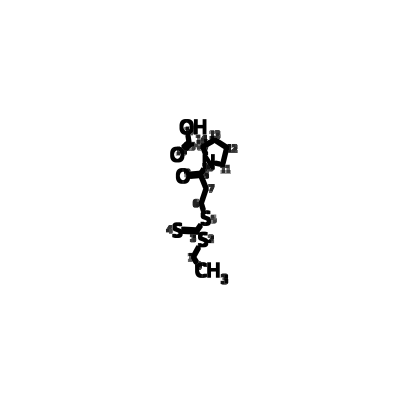 CCSC(=S)SCCC(=O)N1CCC[C@H]1C(=O)O